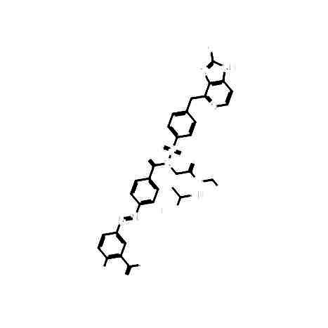 CCOC(=O)[C@H](CC(C)C)N(C(=O)c1ccc(N=Nc2ccc(O)c(C(=O)O)c2)cc1)S(=O)(=O)c1ccc(Cc2nccc3[nH]c(C)nc23)cc1